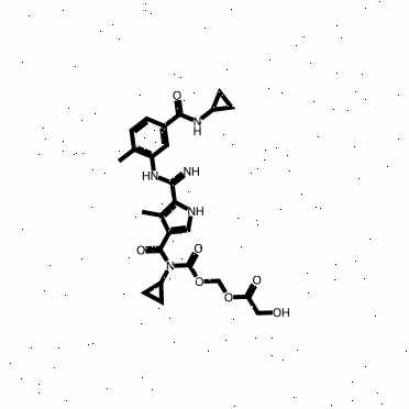 Cc1ccc(C(=O)NC2CC2)cc1NC(=N)c1[nH]cc(C(=O)N(C(=O)OCOC(=O)CO)C2CC2)c1C